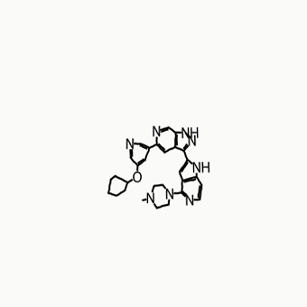 CN1CCN(c2nccc3[nH]c(-c4n[nH]c5cnc(-c6cncc(OC7CCCCC7)c6)cc45)cc23)CC1